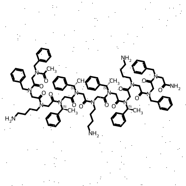 CC(=O)N(CC(=O)N(CC(=O)N(CCCCN)CC(=O)N(CC(=O)N(CC(=O)N(CCCCN)CC(=O)N(CC(=O)N(CC(=O)N(CCCCN)CC(=O)N(CC(=O)N(CC(N)=O)Cc1ccccc1)Cc1ccccc1)[C@@H](C)c1ccccc1)[C@@H](C)c1ccccc1)[C@@H](C)c1ccccc1)[C@@H](C)c1ccccc1)Cc1ccccc1)Cc1ccccc1